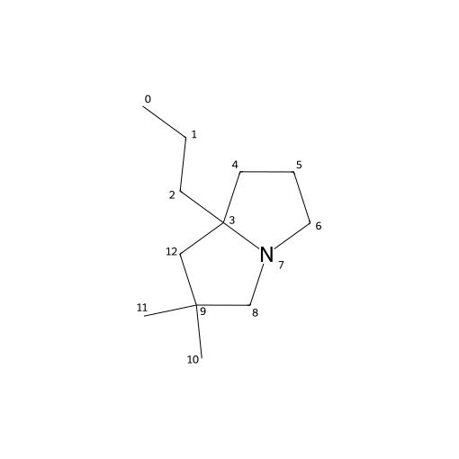 CCCC12CCCN1CC(C)(C)C2